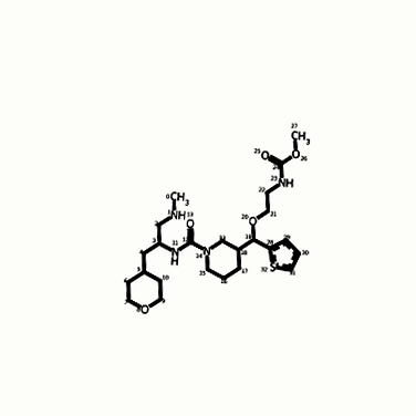 CNCC(CC1CCOCC1)NC(=O)N1CCCC(C(OCCNC(=O)OC)c2cccs2)C1